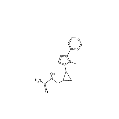 Cn1c(-c2ccccc2)ccc1C1CC1CN(O)C(N)=O